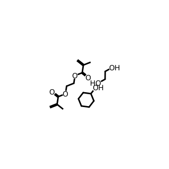 C=C(C)C(=O)OCCOC(=O)C(=C)C.OC1CCCCC1.OCCO